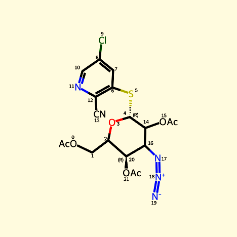 CC(=O)OCC1O[C@H](Sc2cc(Cl)cnc2C#N)C(OC(C)=O)C(N=[N+]=[N-])[C@H]1OC(C)=O